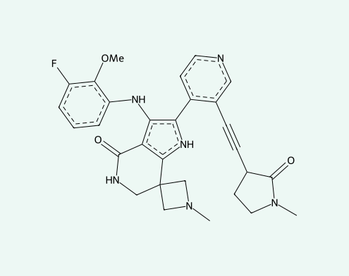 COc1c(F)cccc1Nc1c(-c2ccncc2C#CC2CCN(C)C2=O)[nH]c2c1C(=O)NCC21CN(C)C1